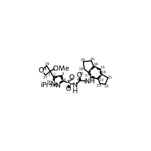 COC1(c2cc(S(=O)(=O)NC(=O)Nc3c4c(cc5c3CCC5)CCC4)nn2C(C)C)COC1